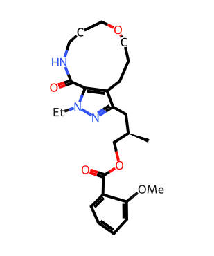 CCn1nc(C[C@@H](C)COC(=O)c2ccccc2OC)c2c1C(=O)NCCCOCCC2